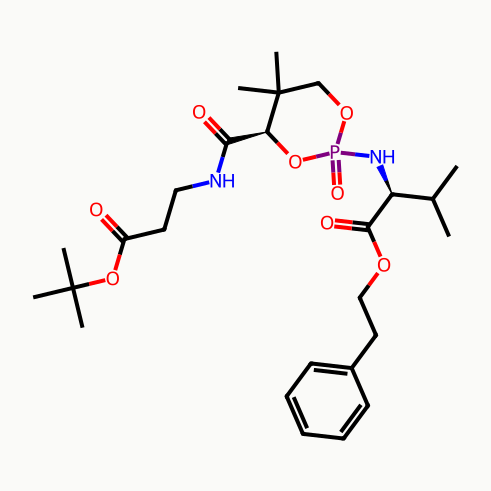 CC(C)[C@H](NP1(=O)OCC(C)(C)[C@H](C(=O)NCCC(=O)OC(C)(C)C)O1)C(=O)OCCc1ccccc1